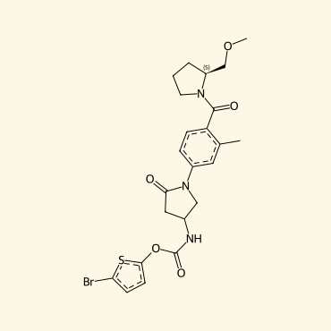 COC[C@@H]1CCCN1C(=O)c1ccc(N2CC(NC(=O)Oc3ccc(Br)s3)CC2=O)cc1C